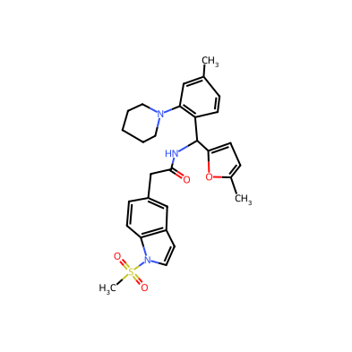 Cc1ccc(C(NC(=O)Cc2ccc3c(ccn3S(C)(=O)=O)c2)c2ccc(C)o2)c(N2CCCCC2)c1